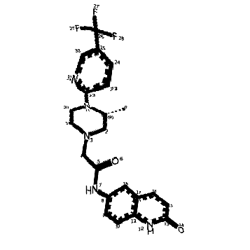 C[C@@H]1CN(CC(=O)Nc2ccc3[nH]c(=O)ccc3c2)CCN1c1ccc(C(F)(F)F)cn1